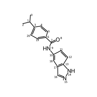 CC(C)c1ccc(C(=O)Nc2ccc3[nH]ncc3c2)cc1